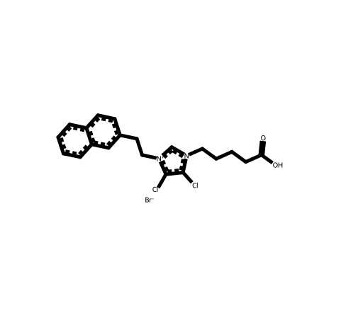 O=C(O)CCCCn1c[n+](CCc2ccc3ccccc3c2)c(Cl)c1Cl.[Br-]